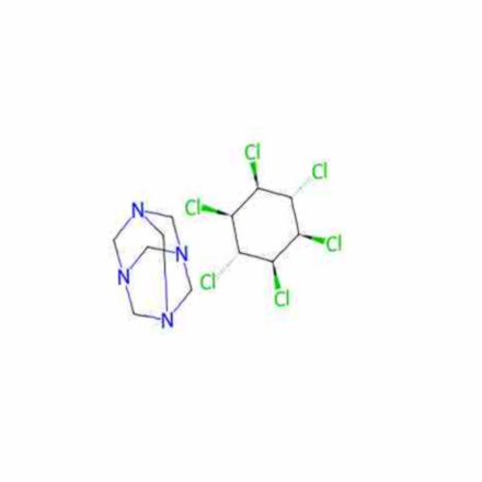 C1N2CN3CN1CN(C2)C3.Cl[C@H]1[C@H](Cl)[C@@H](Cl)[C@@H](Cl)[C@H](Cl)[C@H]1Cl